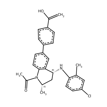 C=C(O)c1ccc(-c2ccc3c(c2)[C@H](Nc2ccc(Cl)cc2C)C[C@H](C)N3C(C)=O)cc1